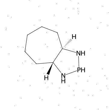 C1CC[C@H]2NPN[C@@H]2CC1